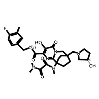 Cc1cc(CNC(=O)c2nc3n(c(=O)c2O)CC2(CN4CC[C@H](O)C4)CCC3(N(C)C(=O)C(=O)N(C)C)CC2)ccc1F